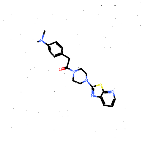 CN(C)c1ccc(CC(=O)N2CCN(c3nc4cccnc4s3)CC2)cc1